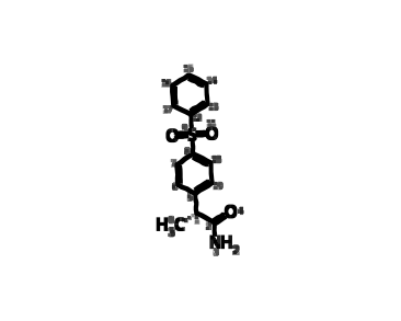 C[C@@H](C(N)=O)c1ccc(S(=O)(=O)c2ccccc2)cc1